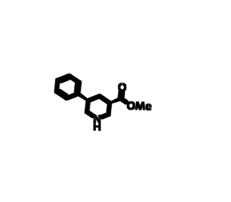 COC(=O)[C@H]1CNC[C@@H](c2ccccc2)C1